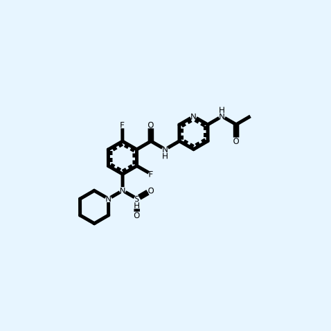 CC(=O)Nc1ccc(NC(=O)c2c(F)ccc(N(N3CCCCC3)[SH](=O)=O)c2F)cn1